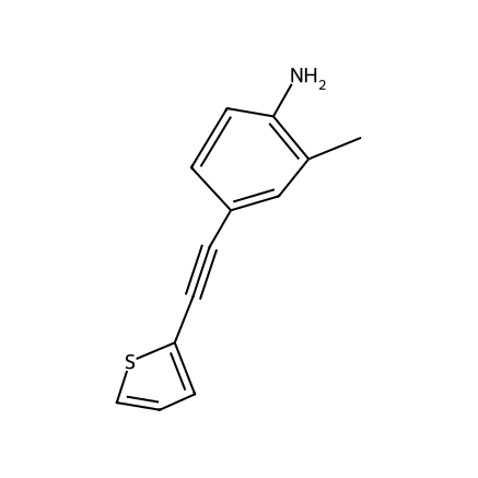 Cc1cc(C#Cc2cccs2)ccc1N